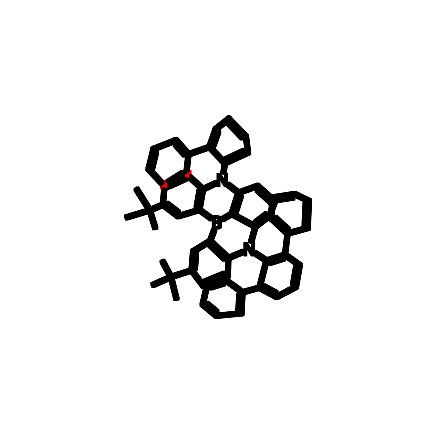 CC(C)(C)c1ccc2c(c1)B1c3cc(C(C)(C)C)ccc3N(c3c(-c4ccccc4)cccc3-c3ccccc3)c3cccc(c31)N2c1ccccc1-c1ccccc1